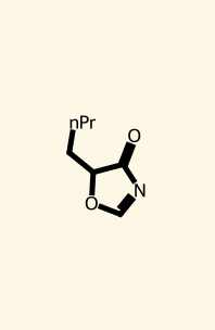 CCCCC1OC=NC1=O